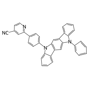 N#Cc1ccnc(-c2ccc(-n3c4ccccc4c4cc5c(cc43)c3ccccc3n5-c3ccccc3)cc2)c1